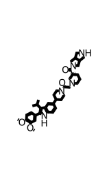 COc1ccc(-c2[nH]c3ccc(C4CCN(C(=O)CN5CCC[C@H](C(=O)N6CC7CNCC7C6)C5)CC4)cc3c2C(C)C)cc1OC